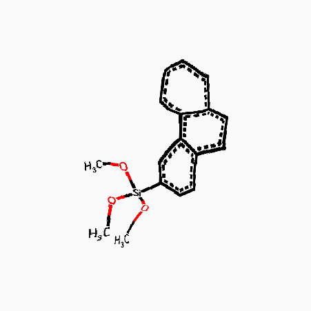 CO[Si](OC)(OC)c1ccc2ccc3ccccc3c2c1